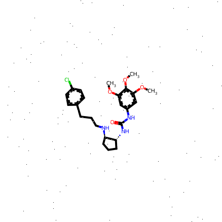 COc1cc(NC(=O)N[C@@H]2CCC[C@H]2NCCCc2ccc(Cl)cc2)cc(OC)c1OC